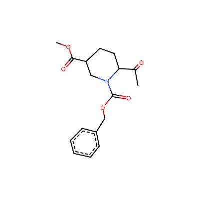 COC(=O)C1CCC(C(C)=O)N(C(=O)OCc2ccccc2)C1